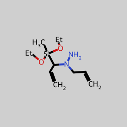 C=CCN(N)C(C=C)[Si](C)(OCC)OCC